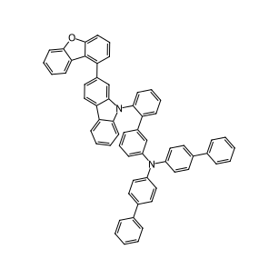 c1ccc(-c2ccc(N(c3ccc(-c4ccccc4)cc3)c3cccc(-c4ccccc4-n4c5ccccc5c5ccc(-c6cccc7oc8ccccc8c67)cc54)c3)cc2)cc1